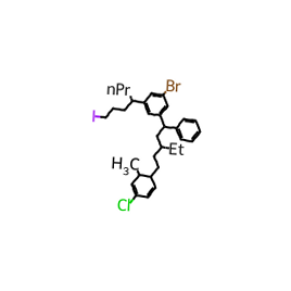 CCCC(CCCI)c1cc(Br)cc(C(CC(CC)CCC2C=CC(Cl)=CC2C)c2ccccc2)c1